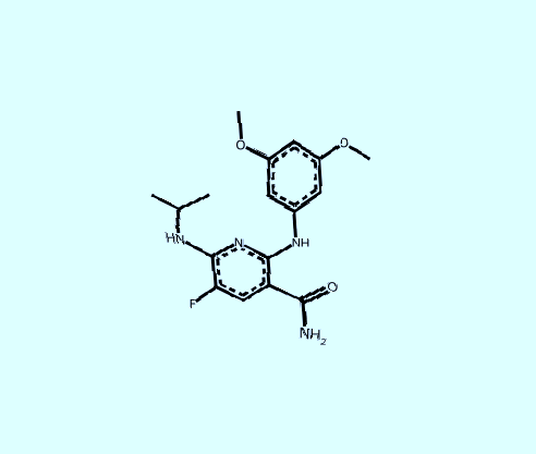 COc1cc(Nc2nc(NC(C)C)c(F)cc2C(N)=O)cc(OC)c1